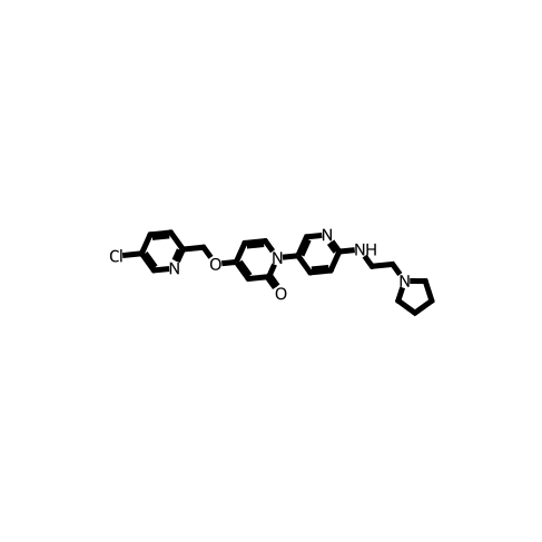 O=c1cc(OCc2ccc(Cl)cn2)ccn1-c1ccc(NCCN2CCCC2)nc1